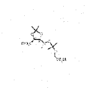 CCOC(=O)COC(C)(C)O[C@H](C)[C@H]1OC(C)(C)O[C@@H]1C(=O)OCC